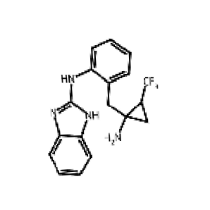 NC1(Cc2ccccc2Nc2nc3ccccc3[nH]2)CC1C(F)(F)F